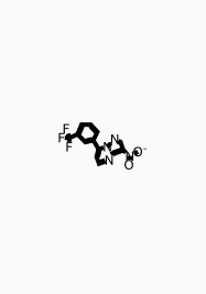 O=[N+]([O-])c1cnn2c(-c3cccc(C(F)(F)F)c3)ccnc12